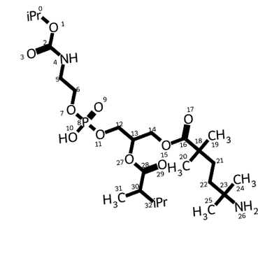 CC(C)OC(=O)NCCOP(=O)(O)OCC(COC(=O)C(C)(C)CCC(C)(C)N)OC(=O)C(C)C(C)C